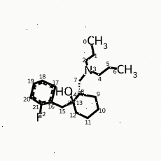 CCCN(CCC)C[C@@H]1CCCC[C@]1(O)Cc1ccccc1F